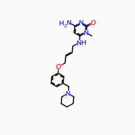 Cn1c(NCC=CCOc2cccc(CN3CCCCC3)c2)cc(N)nc1=O